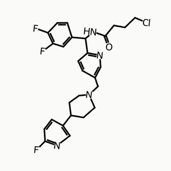 O=C(CCCCl)NC(c1ccc(F)c(F)c1)c1ccc(CN2CCC(c3ccc(F)nc3)CC2)cn1